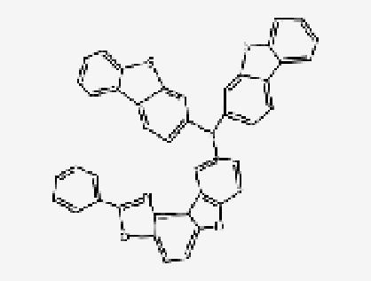 c1ccc(-c2nc3c(ccc4oc5ccc(N(c6ccc7c(c6)sc6ccccc67)c6ccc7c(c6)sc6ccccc67)cc5c43)o2)cc1